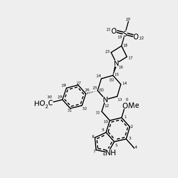 COc1cc(C)c2[nH]ccc2c1CN1CC[C@H](N2CC(S(C)(=O)=O)C2)C[C@H]1c1ccc(C(=O)O)cc1